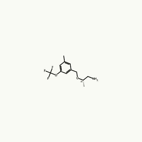 Cc1cc(CO[C@@H](C)CN)cc(OC(F)(F)F)c1